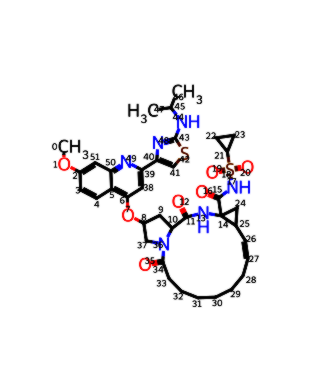 COc1ccc2c(OC3CC4C(=O)NC5(C(=O)NS(=O)(=O)C6CC6)CC5C=CCCCCCCC(=O)N4C3)cc(-c3csc(NC(C)C)n3)nc2c1